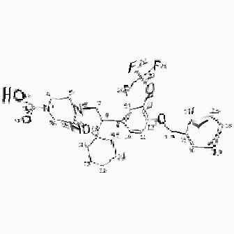 O=C(O)N1CCN(CC(c2ccc(OCc3ccccc3)c(OC(F)(F)F)c2)C2(O)CCCCC2)CC1